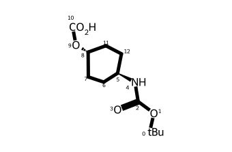 CC(C)(C)OC(=O)N[C@H]1CC[C@H](OC(=O)O)CC1